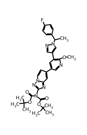 COc1ncc(-c2ccn3nc(N(C(=O)OC(C)(C)C)C(=O)OC(C)(C)C)nc3c2)cc1-c1cnn(C(C)c2ccc(F)cc2)c1